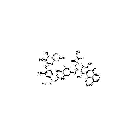 C#CCC(OC(=O)NC1CC(O[C@H]2C[C@](O)(C(=O)CO)Cc3c(O)c4c(c(O)c32)C(=O)c2c(OC)cccc2C4=O)OC(C)C1O)c1ccc(O[C@@H]2OC(COC(C)=O)[C@H](O)C(O)[C@@H]2O)c([N+](=O)[O-])c1